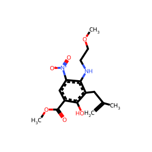 C=C(C)Cc1c(O)c(C(=O)OC)cc([N+](=O)[O-])c1NCCOC